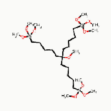 CO[Si](CCCCCC(CCCCC[Si](OC)(OC)OC)(CCCCC[Si](OC)(OC)OC)O[SiH3])(OC)OC